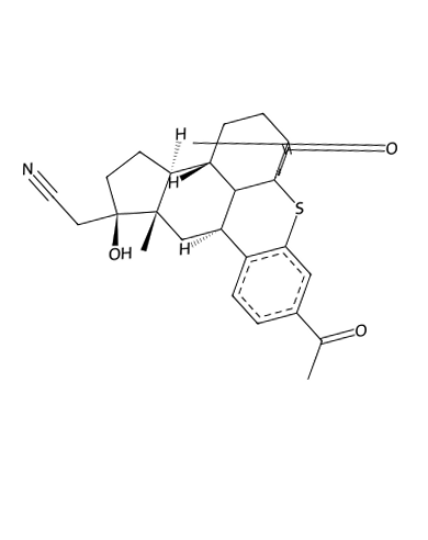 CC(=O)c1ccc2c(c1)S[C@]13CCC(=O)C=C1CC[C@@H]1C3[C@@H]2C[C@@]2(C)[C@H]1CC[C@@]2(O)CC#N